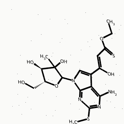 CCOC(=S)C=C(O)c1cn(C2O[C@H](CO)[C@@H](O)C2(C)O)c2nc(SC)nc(N)c12